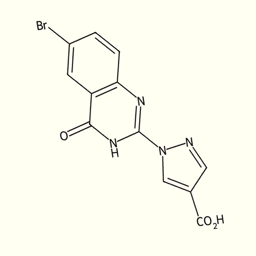 O=C(O)c1cnn(-c2nc3ccc(Br)cc3c(=O)[nH]2)c1